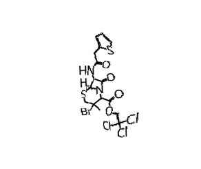 CC1(Br)CS[C@H]2C(NC(=O)Cc3cccs3)C(=O)N2C1C(=O)OCC(Cl)(Cl)Cl